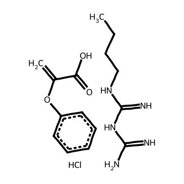 C=C(Oc1ccccc1)C(=O)O.CCCCNC(=N)NC(=N)N.Cl